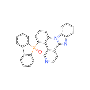 O=P1(c2cccc3c2c2cnccc2c2nc4ccccc4n32)c2ccccc2-c2ccccc21